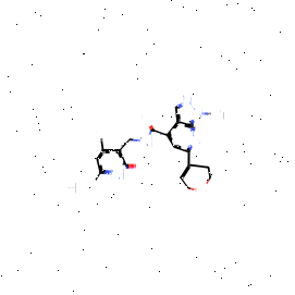 Cc1cc(C)c(CNC(=O)c2cc(C3=CCOCC3)nc3c2cnn3C(C)C)c(=O)[nH]1